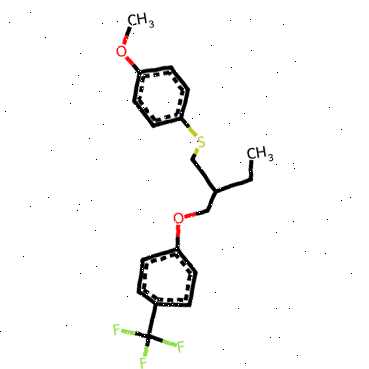 CCC(COc1ccc(C(F)(F)F)cc1)CSc1ccc(OC)cc1